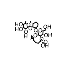 CC[C@@H]1CCC[C@@H](O[C@@H]2OC(CO)[C@H](O)C3O[C@@H](C(=O)O)CCCC4(CC4)OC32)C1O[C@@H]1OC(C)[C@@H](O)C(O)[C@@H]1O